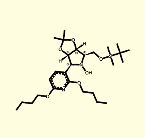 CCCCOc1ccc([C@H]2[C@@H]3OC(C)(C)O[C@@H]3[C@@H](CO[Si](C)(C)C(C)(C)C)N2O)c(OCCCC)n1